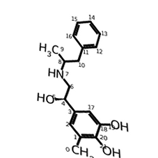 Cc1cc([C@@H](O)CNC(C)Cc2ccccc2)cc(O)c1O